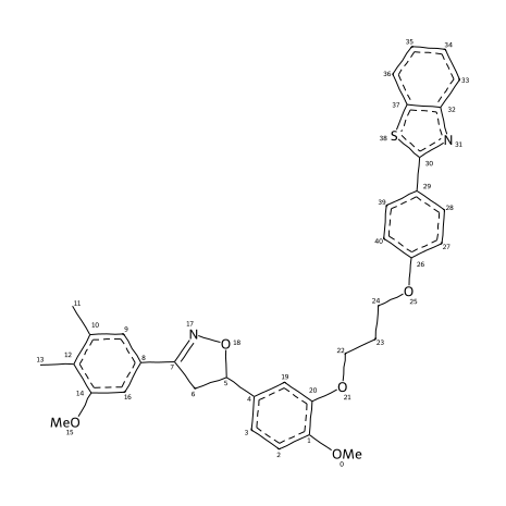 COc1ccc(C2CC(c3cc(C)c(C)c(OC)c3)=NO2)cc1OCCCOc1ccc(-c2nc3ccccc3s2)cc1